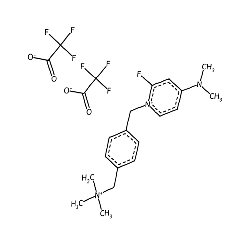 CN(C)c1cc[n+](Cc2ccc(C[N+](C)(C)C)cc2)c(F)c1.O=C([O-])C(F)(F)F.O=C([O-])C(F)(F)F